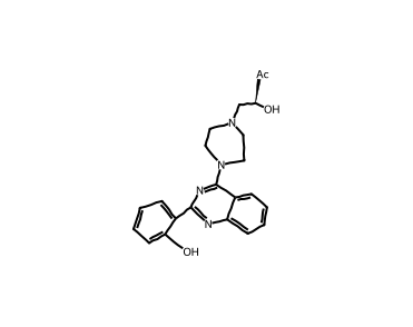 CC(=O)[C@@H](O)CN1CCN(c2nc(-c3ccccc3O)nc3ccccc23)CC1